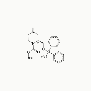 CC(C)(C)OC(=O)N1CCNC[C@H]1CO[Si](c1ccccc1)(c1ccccc1)C(C)(C)C